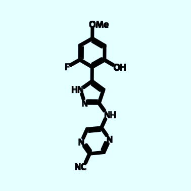 COc1cc(O)c(-c2cc(Nc3cnc(C#N)cn3)n[nH]2)c(F)c1